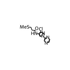 CSCCC(=O)Nc1cn(-c2cnccn2)nc1Cl